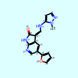 CCn1nccc1N/C=C1\C(=O)Nc2ncc(-c3ccco3)cc21